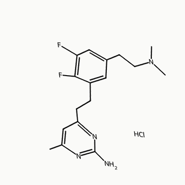 Cc1cc(CCc2cc(CCN(C)C)cc(F)c2F)nc(N)n1.Cl